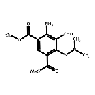 COC(=O)c1cc(C(=O)OC(C)(C)C)c(N)c(C=O)c1SN(C)C